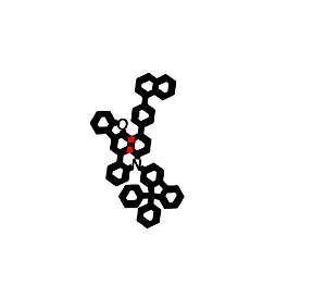 c1ccc(C2(c3ccccc3)c3ccccc3-c3ccc(N(c4ccc(-c5ccc(-c6cccc7ccccc67)cc5)cc4)c4ccccc4-c4ccc5oc6ccccc6c5c4)cc32)cc1